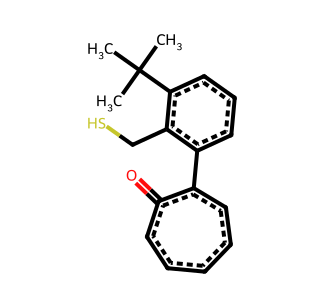 CC(C)(C)c1cccc(-c2cccccc2=O)c1CS